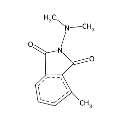 Cc1cccc2c1C(=O)N(N(C)C)C2=O